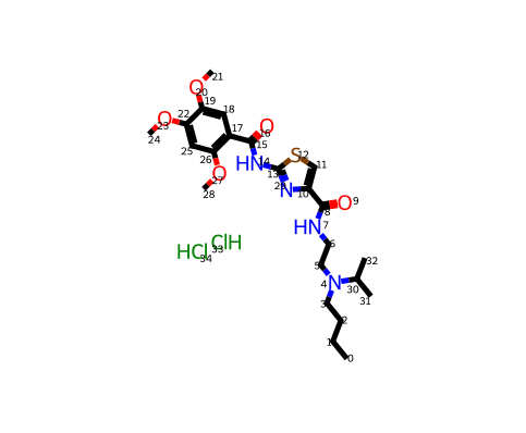 CCCCN(CCNC(=O)c1csc(NC(=O)c2cc(OC)c(OC)cc2OC)n1)C(C)C.Cl.Cl